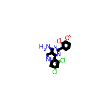 COc1cccc(-c2nc(N)c(CN)c(-c3ccc(Cl)cc3Cl)n2)c1OC